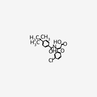 CC(C)(C)c1ccc(C(=O)Nc2c(C(=O)O)oc3ccc(Cl)cc23)cc1